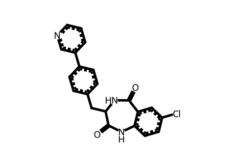 O=C1NC(Cc2ccc(-c3cccnc3)cc2)C(=O)Nc2ccc(Cl)cc21